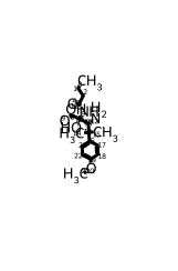 CCCC(=O)N[C@@](O)(C(=O)O)[C@H](N)C(C)(C)c1ccc(OC)cc1